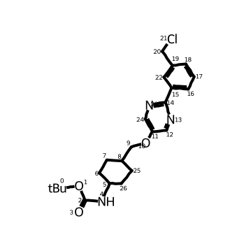 CC(C)(C)OC(=O)NC1CCC(COc2cnc(-c3cccc(CCl)c3)nc2)CC1